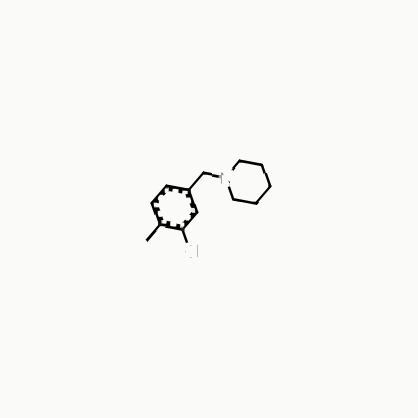 Cc1ccc(CN2CC[CH]CC2)cc1Cl